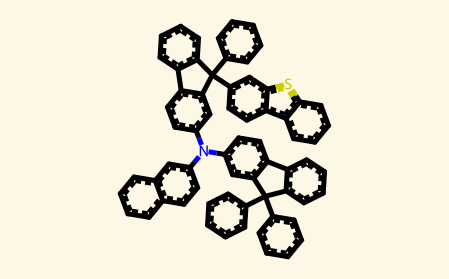 c1ccc(C2(c3ccccc3)c3ccccc3-c3ccc(N(c4ccc5c(c4)C(c4ccccc4)(c4ccc6c(c4)sc4ccccc46)c4ccccc4-5)c4ccc5ccccc5c4)cc32)cc1